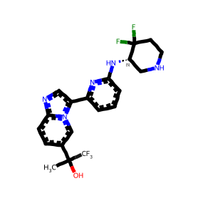 CC(O)(c1ccc2ncc(-c3cccc(N[C@H]4CNCCC4(F)F)n3)n2c1)C(F)(F)F